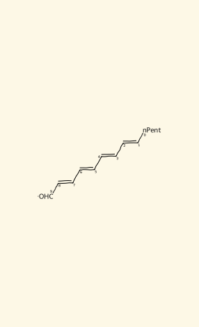 CCCCCC=CC=CC=CC=C[C]=O